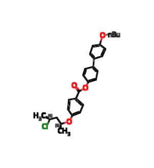 CCCCOc1ccc(-c2ccc(OC(=O)c3ccc(O[C@@H](C)C[C@H](C)Cl)cc3)cc2)cc1